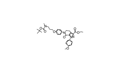 CCOC(=O)c1nn(-c2ccc(OC)cc2)c2c1CCN(c1ccc(OCCCN(C)C(=O)OC(C)(C)C)cc1)C2=O